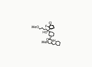 CNC[C@H](CC1CCCCC1)NC(=O)N1CCC[C@@H](C(O)(CCCCOC)c2cccc(Cl)c2F)C1